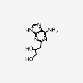 Nc1nc(C[C@H](O)CO)nc2[nH]cnc12